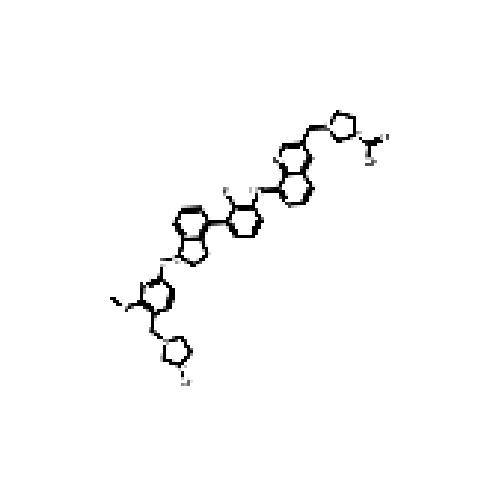 COc1nc(O[C@@H]2CCc3c(-c4cccc(Nc5nccc6cc(CN7CC[C@@H](C(=O)O)C7)cnc56)c4F)cccc32)ccc1CN1CC[C@@H](O)C1